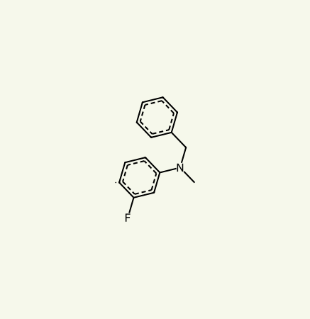 CN(Cc1ccccc1)c1cc[c]c(F)c1